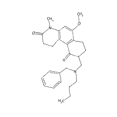 CCCCN(Cc1ccccc1)CC1CCc2c(OC)cc3c(c2C1=O)CCC(=O)N3C